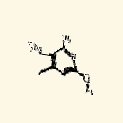 CCOc1cc(C)c(N)c(N)n1